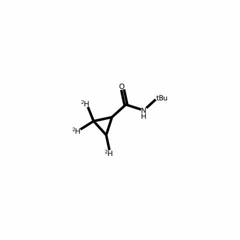 [2H]C1C(C(=O)NC(C)(C)C)C1([2H])[2H]